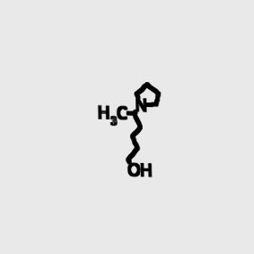 CC(CCCCO)N1CCCC1